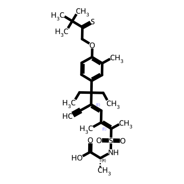 C#C/C(=C\C(C)=C(/C)S(=O)(=O)N[C@H](C)C(=O)O)C(CC)(CC)c1ccc(OCC(=S)C(C)(C)C)c(C)c1